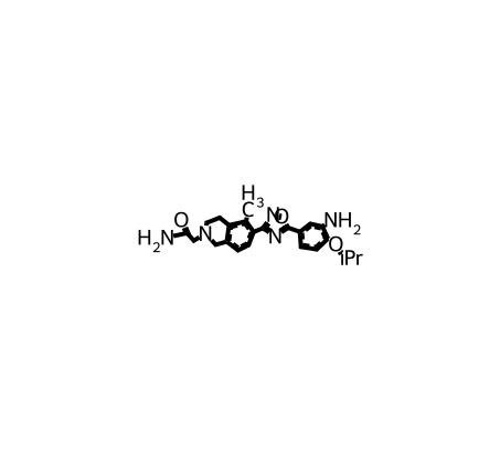 Cc1c(-c2noc(-c3ccc(OC(C)C)c(N)c3)n2)ccc2c1CCN(CC(N)=O)C2